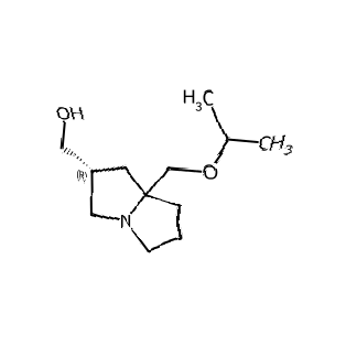 CC(C)OCC12CCCN1C[C@H](CO)C2